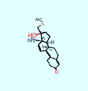 CCC[C@]12C=CC3=C4CCC(=O)C=C4CC[C@H]3[C@@H]1CC[C@@]2(O)CSC#N